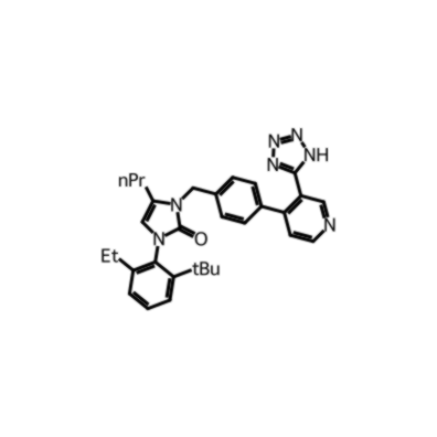 CCCc1cn(-c2c(CC)cccc2C(C)(C)C)c(=O)n1Cc1ccc(-c2ccncc2-c2nnn[nH]2)cc1